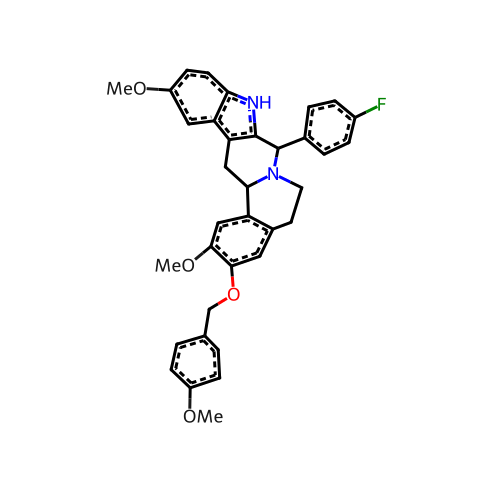 COc1ccc(COc2cc3c(cc2OC)C2Cc4c([nH]c5ccc(OC)cc45)C(c4ccc(F)cc4)N2CC3)cc1